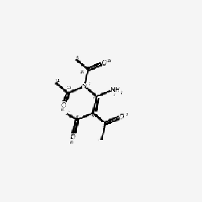 CC(=O)C(C(C)=O)=C(N)N(C(C)=O)C(C)=O